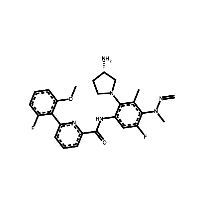 C=NN(C)c1c(F)cc(NC(=O)c2cccc(-c3c(F)cccc3OC)n2)c(N2CC[C@H](N)C2)c1C